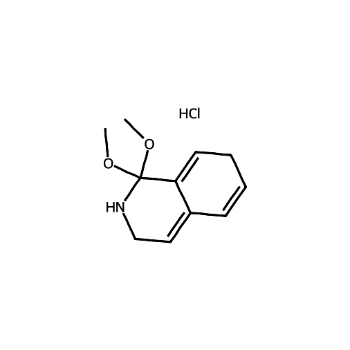 COC1(OC)NCC=C2C=CCC=C21.Cl